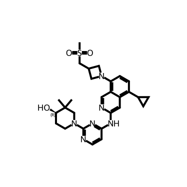 CC1(C)CN(c2nccc(Nc3cc4c(C5CC5)ccc(N5CC(CS(C)(=O)=O)C5)c4cn3)n2)CC[C@H]1O